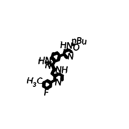 CCCCC(=O)Nc1cncc(-c2ccc3[nH]nc(-c4cc5c(-c6cc(C)cc(F)c6)nccc5[nH]4)c3c2)c1